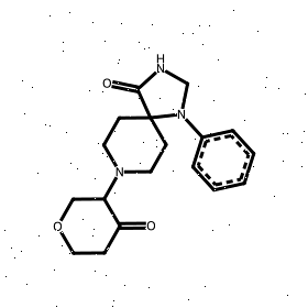 O=C1CCOCC1N1CCC2(CC1)C(=O)NCN2c1ccccc1